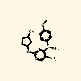 COc1ccc(N(N)c2nc(NC3CCC(O)C3)ncc2N)cc1